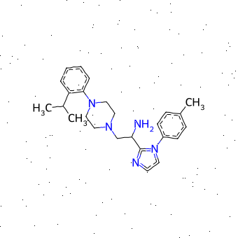 Cc1ccc(-n2ccnc2C(N)CN2CCN(c3ccccc3C(C)C)CC2)cc1